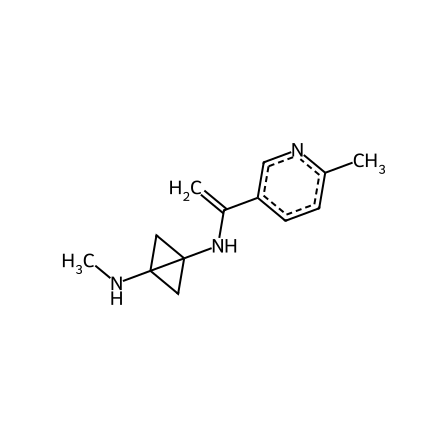 C=C(NC12CC1(NC)C2)c1ccc(C)nc1